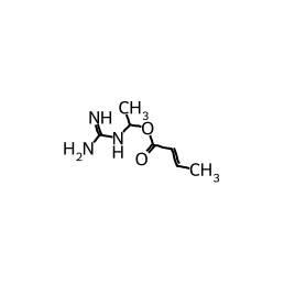 C/C=C/C(=O)OC(C)NC(=N)N